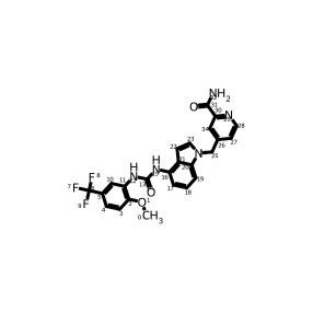 COc1ccc(C(F)(F)F)cc1NC(=O)Nc1cccc2c1ccn2Cc1ccnc(C(N)=O)c1